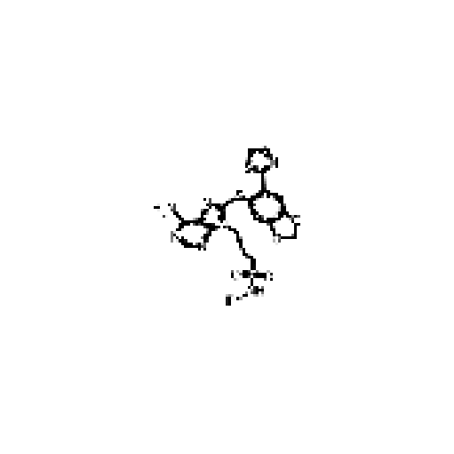 CC(C)NS(=O)(=O)CCCn1c(Sc2cc3c(cc2-c2nccs2)OCO3)nc2c(N)ncnc21